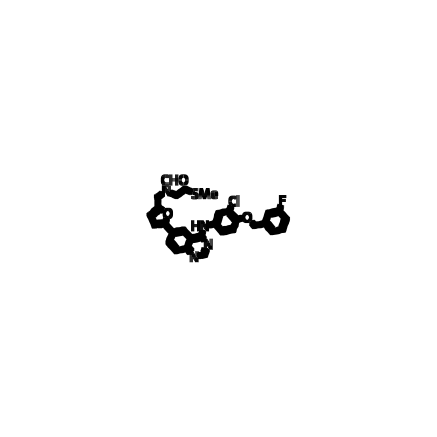 CSCCN(C=O)Cc1ccc(-c2ccc3ncnc(Nc4ccc(OCc5cccc(F)c5)c(Cl)c4)c3c2)o1